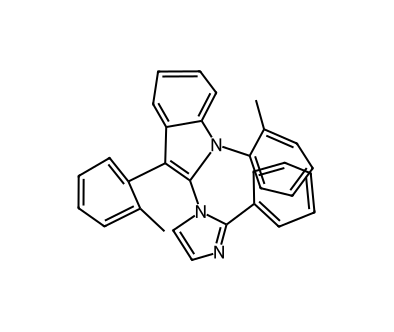 Cc1ccccc1-c1c(-n2ccnc2-c2ccccc2)n(-c2ccccc2C)c2ccccc12